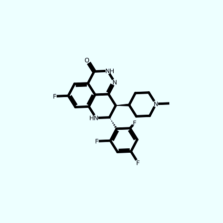 CN1CCC([C@@H]2c3n[nH]c(=O)c4cc(F)cc(c34)N[C@H]2c2c(F)cc(F)cc2F)CC1